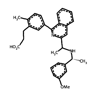 COc1cccc([C@@H](C)NC(C)c2cc3ccccc3c(-c3ccc(C)c(CCC(=O)O)c3)n2)c1